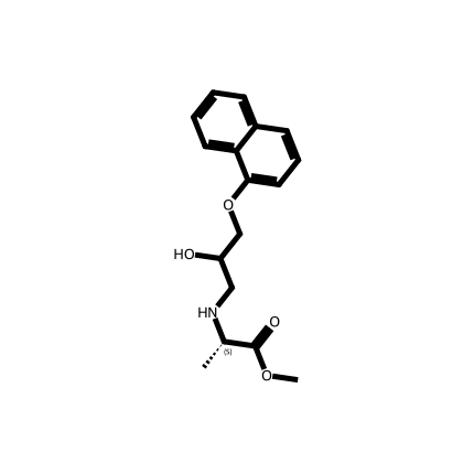 COC(=O)[C@H](C)NCC(O)COc1cccc2ccccc12